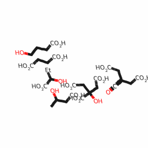 CC(O)CC(=O)O.CCC(O)C(=O)O.O=C(O)CC(O)(CC(=O)O)C(=O)O.O=C(O)CCC(=O)O.O=C(O)CCCO.O=C=C(CC(=O)O)CC(=O)O